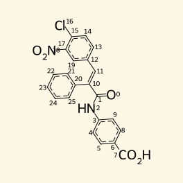 O=C(Nc1ccc(C(=O)O)cc1)C(=Cc1ccc(Cl)c([N+](=O)[O-])c1)c1ccccc1